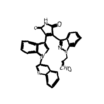 O=CCCn1nc(C2=C(c3cn(-c4cnc5ccccc5c4)c4ccccc34)C(=O)NC2=O)c2ccccc21